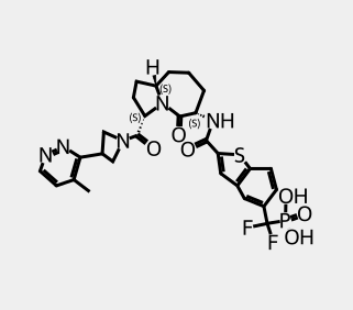 Cc1ccnnc1C1CN(C(=O)[C@@H]2CC[C@@H]3CCC[C@H](NC(=O)c4cc5cc(C(F)(F)P(=O)(O)O)ccc5s4)C(=O)N32)C1